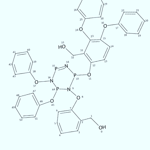 OCc1ccccc1On1p(Oc2ccc(Oc3ccccc3)c(Oc3ccccc3)c2CO)npn(Oc2ccccc2)p1Oc1ccccc1